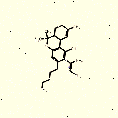 CCCCCc1cc2c(c(O)c1/C(N)=N/N)C1C=C(C)CCC1C(C)(C)O2